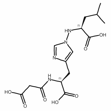 CC(C)C[C@H](Nn1cnc(C[C@H](NC(=O)CC(=O)O)C(=O)O)c1)C(=O)O